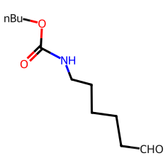 CCCCOC(=O)NCCCCCC=O